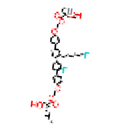 C=C(CO)C(=O)OCCOc1ccc(-c2ccc(-c3ccc(-c4ccc(OCCOC(=O)C(=C)CO)cc4)c(F)c3)c(CCCCCCF)c2)cc1